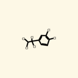 Clc1ccc(C(Cl)(Cl)C(Cl)Cl)cc1Cl